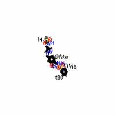 COc1ccc(C(C)(C)C)cc1S(=O)(=O)Nc1noc2cc(Cn3cc(CNS(C)(=O)=O)cn3)cc(OC)c12